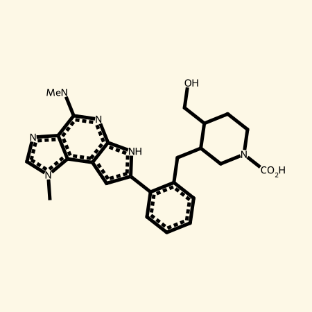 CNc1nc2[nH]c(-c3ccccc3CC3CN(C(=O)O)CCC3CO)cc2c2c1ncn2C